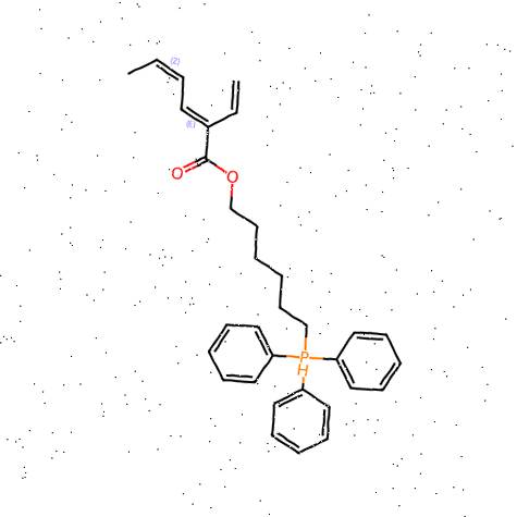 C=C/C(=C\C=C/C)C(=O)OCCCCCC[PH](c1ccccc1)(c1ccccc1)c1ccccc1